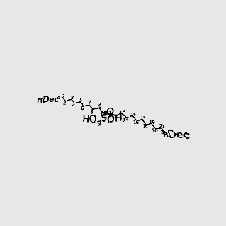 CCCCCCCCCCCCCCCCCCCCOCCCCCCCCCCCCCCCCCCCC.O=S(=O)(O)O